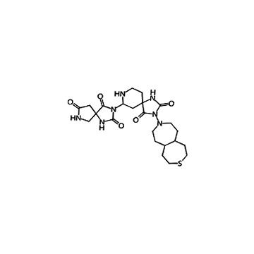 O=C1CC2(CN1)NC(=O)N(C1CC3(CCN1)NC(=O)N(N1CCC4CCSCCC4CC1)C3=O)C2=O